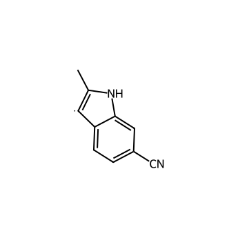 Cc1[c]c2ccc(C#N)cc2[nH]1